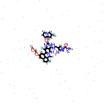 CCc1c(F)ccc2cc(OCOC)cc(-c3ncc4c(NCc5cn(C(=O)N(C)C)nc5N)nc(OC[C@@]56CCCN5C[C@H](F)C6)nc4c3F)c12